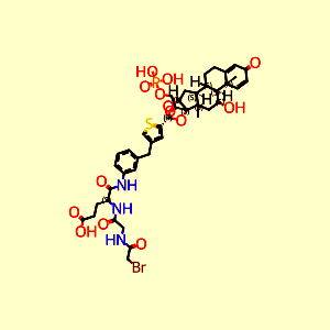 C[C@]12C=CC(=O)C=C1CC[C@@H]1[C@@H]2[C@@H](O)C[C@@]2(C)[C@H]1C[C@H]1O[C@@H](c3cc(Cc4cccc(NC(=O)[C@H](CCC(=O)O)NC(=O)CNC(=O)CBr)c4)cs3)O[C@]12C(=O)COP(=O)(O)O